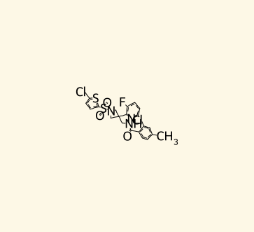 Cc1ccc(C(=O)NCC2(c3ncccc3F)CN(S(=O)(=O)c3ccc(Cl)s3)C2)c(Cl)c1